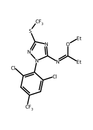 CCOC(CC)=Nc1nc(SC(F)(F)F)nn1-c1c(Cl)cc(C(F)(F)F)cc1Cl